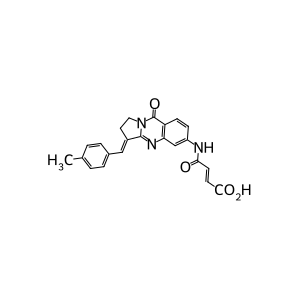 Cc1ccc(C=C2CCn3c2nc2cc(NC(=O)C=CC(=O)O)ccc2c3=O)cc1